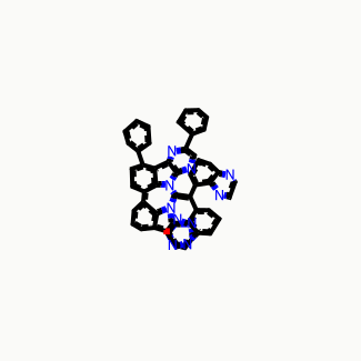 c1ccc(-c2cnc3c(n2)c2c(-c4ccccc4)ccc4c5cccc6c7nccnc7n(c(=C(c7cccc8nccnc78)c7cccc8nccnc78)n3c42)c56)cc1